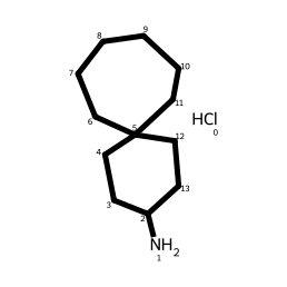 Cl.NC1CCC2(CCCCCC2)CC1